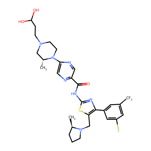 C[C@@H]1CCCN1Cc1sc(NC(=O)c2cnc(N3CCN(CCC(O)O)C[C@H]3C)cn2)nc1-c1cc(F)cc(C(F)(F)F)c1